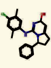 Cc1cc(NC2=NC(O)C=C3CCC(c4ccccc4)N32)c(C)cc1Cl